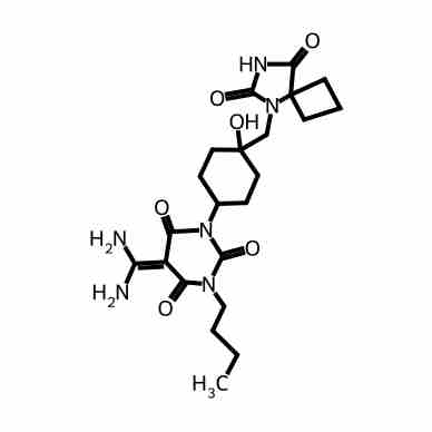 CCCCN1C(=O)C(=C(N)N)C(=O)N(C2CCC(O)(CN3C(=O)NC(=O)C34CCC4)CC2)C1=O